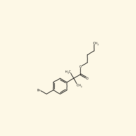 CCCCOC(=O)C(C)(C)c1ccc(CBr)cc1